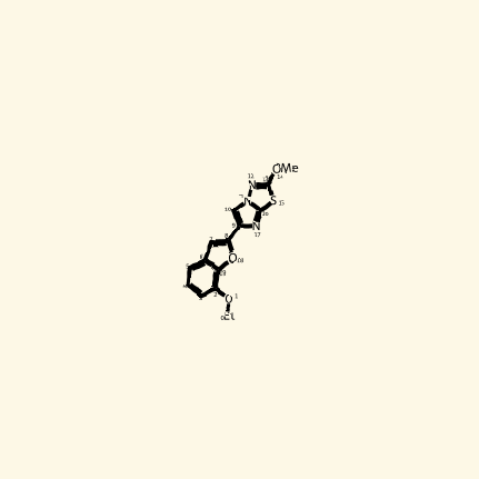 CCOc1cccc2cc(-c3cn4nc(OC)sc4n3)oc12